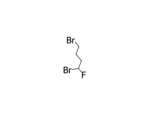 FC(Br)CCCBr